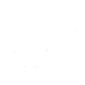 Nc1n[nH]c2nc(-c3ccncc3)cc(-c3ccccc3)c12